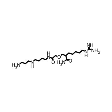 N=C(N)NCCCCCC(COCC(=O)NCCCCNCCCN)C(N)=O